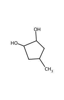 CC1CC(O)C(O)C1